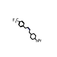 CCCC1CCC(C/C=C\Cc2ccc(C(F)(F)F)cc2)CC1